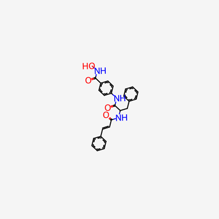 O=C(C=Cc1ccccc1)NC(Cc1ccccc1)C(=O)Nc1ccc(C(=O)NO)cc1